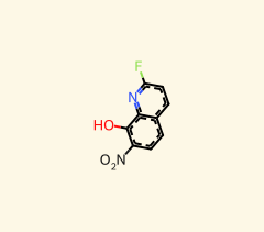 O=[N+]([O-])c1ccc2ccc(F)nc2c1O